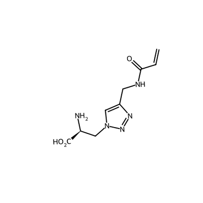 C=CC(=O)NCc1cn(C[C@H](N)C(=O)O)nn1